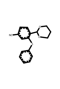 N#Cc1ccc(C2OCCCO2)c(Sc2ccccc2)c1